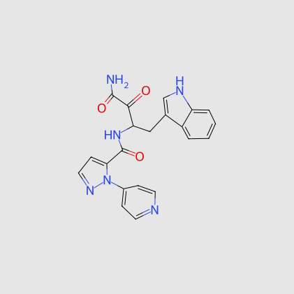 NC(=O)C(=O)C(Cc1c[nH]c2ccccc12)NC(=O)c1ccnn1-c1ccncc1